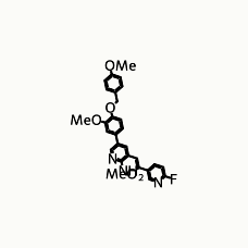 COC(=Cc1cc(-c2ccc(OCc3ccc(OC)cc3)c(OC)c2)cnc1N)c1ccc(F)nc1